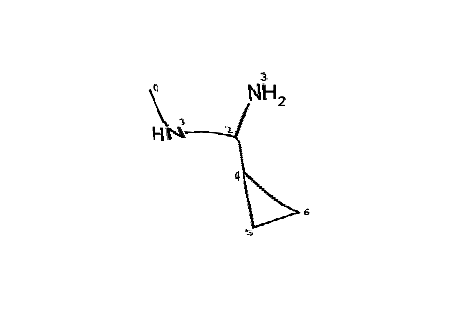 CNC(N)C1CC1